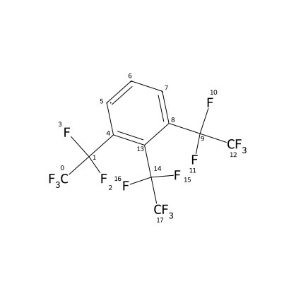 FC(F)(F)C(F)(F)c1[c]ccc(C(F)(F)C(F)(F)F)c1C(F)(F)C(F)(F)F